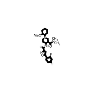 COC1CCCCC1N1CCC(NC(=O)c2cc(-c3ccc(F)cc3F)on2)C(C(=O)N(C)C)C1